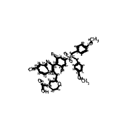 COc1ccc(CN(Cc2ccc(OC)cc2)S(=O)(=O)c2cc(F)c(-c3nc4cc(Cl)ccn4c3CC3CN(C(=O)O)CCO3)c(F)c2)cc1